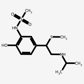 CSC(CNC(C)C)c1ccc(O)c(NS(C)(=O)=O)c1